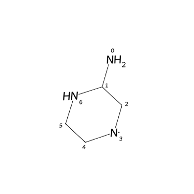 NC1C[N]CCN1